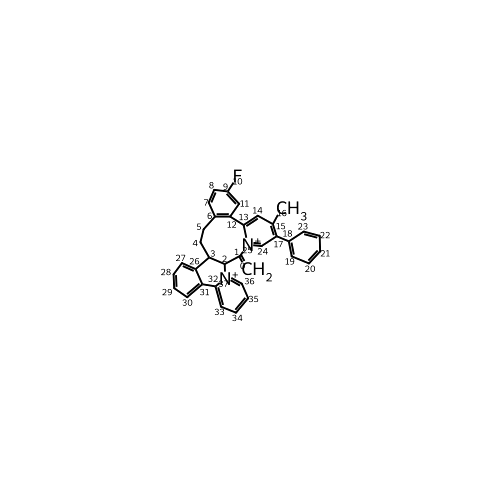 C=C1C2C(CCc3ccc(F)cc3-c3cc(C)c(-c4ccccc4)c[n+]31)c1ccccc1-c1cccc[n+]12